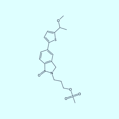 COC(C)c1ccc(-c2ccc3c(c2)CN(CCCOS(C)(=O)=O)C3=O)s1